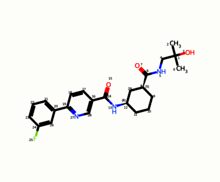 CC(C)(O)CNC(=O)[C@H]1CCC[C@@H](NC(=O)c2ccc(-c3cccc(F)c3)nc2)C1